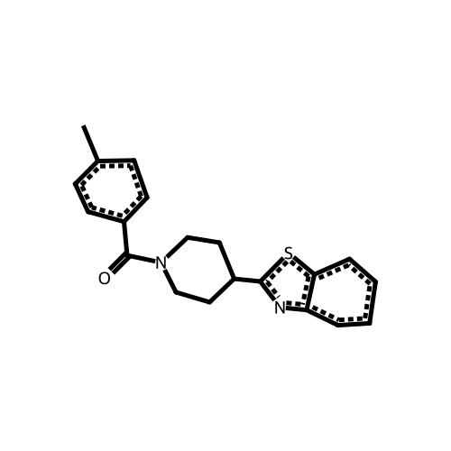 Cc1ccc(C(=O)N2CCC(c3nc4ccccc4s3)CC2)cc1